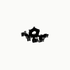 CC(C)N[C@@H]1CCC[C@H](C(C(C)C)C(C)C)[C@H]1O